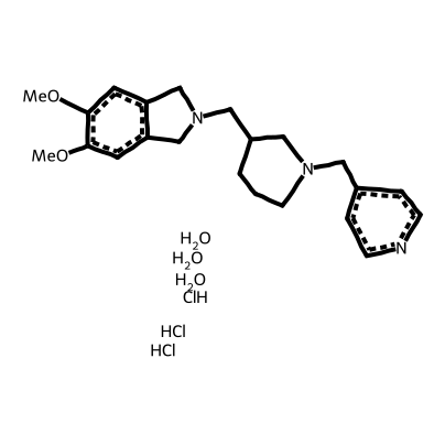 COc1cc2c(cc1OC)CN(CC1CCCN(Cc3ccncc3)C1)C2.Cl.Cl.Cl.O.O.O